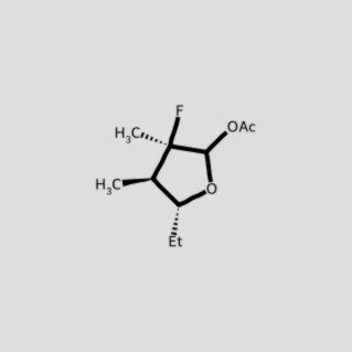 CC[C@H]1OC(OC(C)=O)[C@](C)(F)[C@@H]1C